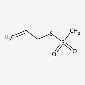 C=CCSS(C)(=O)=O